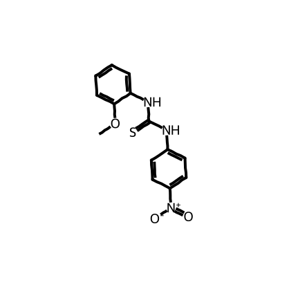 COc1ccccc1NC(=S)Nc1ccc([N+](=O)[O-])cc1